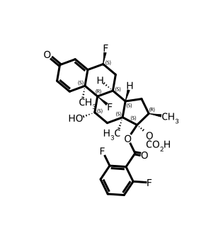 C[C@@H]1C[C@H]2[C@@H]3C[C@H](F)C4=CC(=O)C=C[C@]4(C)[C@@]3(F)[C@@H](O)C[C@]2(C)[C@]1(OC(=O)O)OC(=O)c1c(F)cccc1F